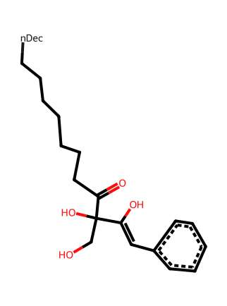 CCCCCCCCCCCCCCCCCC(=O)C(O)(CO)C(O)=Cc1ccccc1